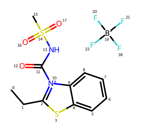 CCc1sc2ccccc2[n+]1C(=O)NS(C)(=O)=O.F[B-](F)(F)F